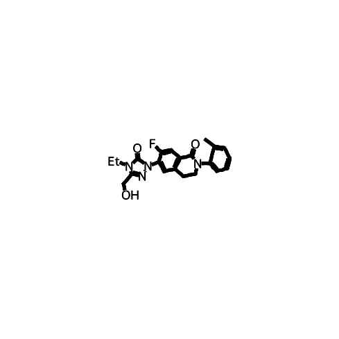 CCn1c(CO)nn(-c2cc3c(cc2F)C(=O)N(c2ccccc2C)CC3)c1=O